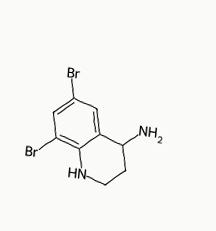 NC1CCNc2c(Br)cc(Br)cc21